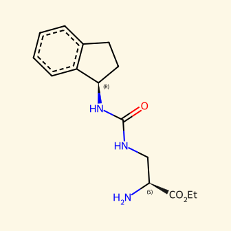 CCOC(=O)[C@@H](N)CNC(=O)N[C@@H]1CCc2ccccc21